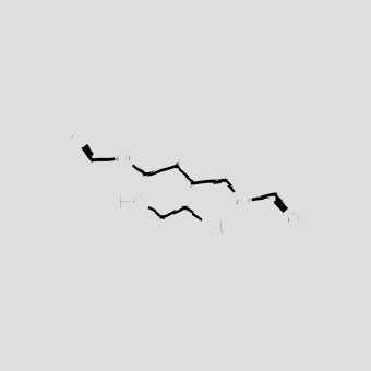 O=COCCCCOC=O.OCCO